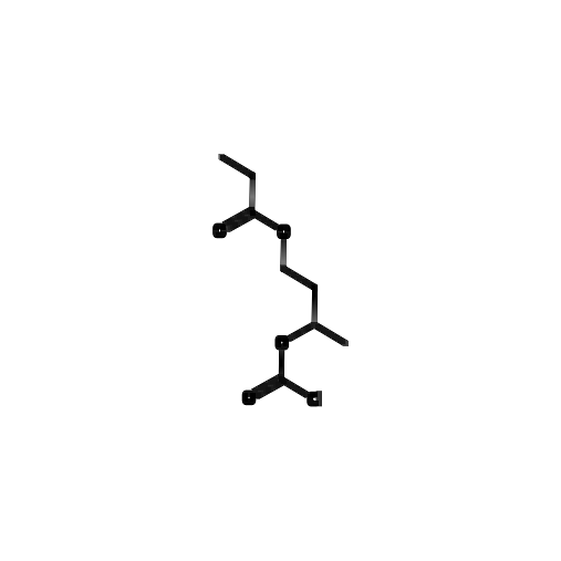 CCC(=O)OCCC(C)OC(=O)Cl